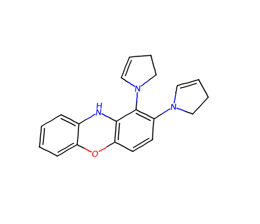 C1=CN(c2ccc3c(c2N2C=CCC2)Nc2ccccc2O3)CC1